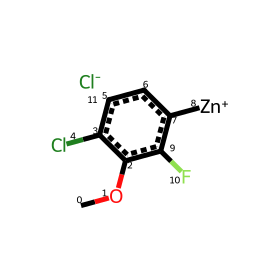 COc1c(Cl)cc[c]([Zn+])c1F.[Cl-]